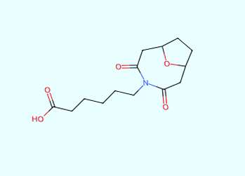 O=C(O)CCCCCN1C(=O)CC2CCC(CC1=O)O2